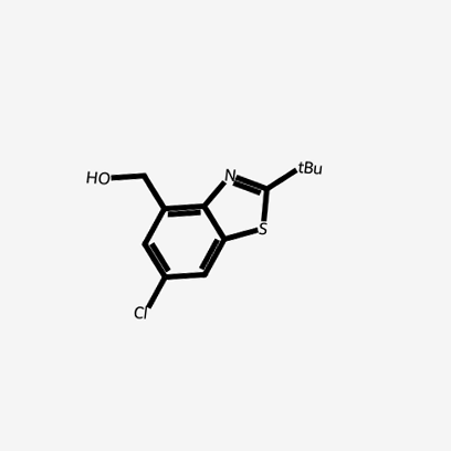 CC(C)(C)c1nc2c(CO)cc(Cl)cc2s1